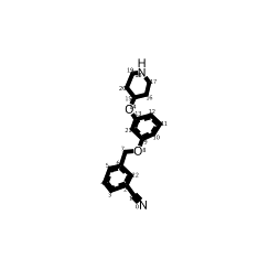 N#Cc1cccc(COc2cccc(OC3CCNCC3)c2)c1